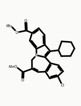 COC(=O)C1=Cc2cc(Cl)ccc2-c2c(C3CCCCC3)c3ccc(C(=O)OC(C)(C)C)cc3n2C1